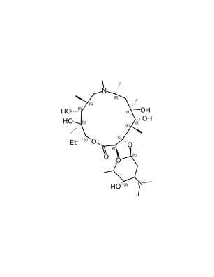 CC[C@H]1OC(=O)[C@H](C)[C@@H](O[C@H]2CC(N(C)C)[C@H](O)C(C)O2)[C@H](C)[C@@H](O)[C@](C)(O)C[C@@H](C)N(C)C[C@H](C)[C@@H](O)[C@]1(C)O